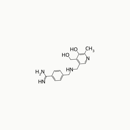 Cc1ncc(CNCc2ccc(C(=N)N)cc2)c(CO)c1O